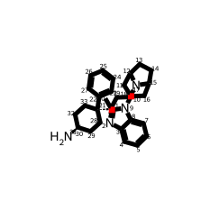 Cc1nc2ccccc2n1C1CC2CCC(C1)N2CCC[C@]1(c2ccccc2)CC[C@@H](N)CC1